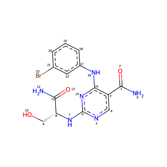 NC(=O)c1cnc(N[C@H](CO)C(N)=O)nc1Nc1cccc(Br)c1